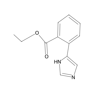 CCOC(=O)c1ccccc1-c1cnc[nH]1